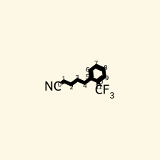 N#CCCCCc1ccccc1C(F)(F)F